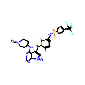 CN1CCC(Nc2ncnc3[nH]cc(C(=O)C4C(F)=CC=C(NS(=O)(=O)c5ccc(C(F)(F)F)cc5)C4F)c23)CC1